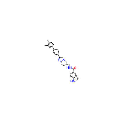 Cc1ccc(-c2ccc(-c3cn4c(n3)CCC(CNC(=O)c3ccc5[nH]ccc5c3)C4)cc2)cc1C